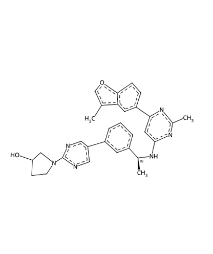 Cc1nc(N[C@@H](C)c2cccc(-c3cnc(N4CCC(O)C4)nc3)c2)cc(-c2ccc3occ(C)c3c2)n1